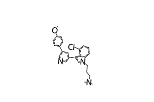 COc1ccc(-c2cncc(-c3cn(CCCN(C)C)c4cccc(Cl)c34)c2)cc1